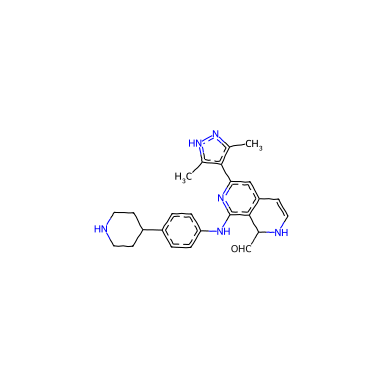 Cc1n[nH]c(C)c1-c1cc2c(c(Nc3ccc(C4CCNCC4)cc3)n1)C(C=O)NC=C2